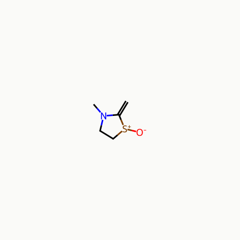 C=C1N(C)CC[S+]1[O-]